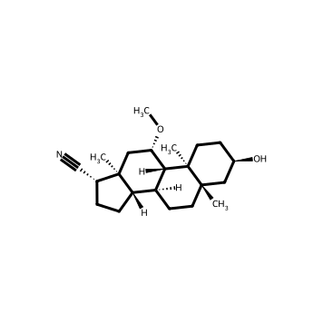 CO[C@H]1C[C@]2(C)[C@@H](C#N)CC[C@H]2[C@@H]2CC[C@@]3(C)C[C@H](O)CC[C@]3(C)[C@H]21